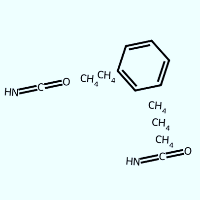 C.C.C.C.C.N=C=O.N=C=O.c1ccccc1